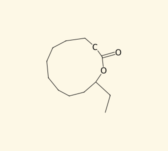 CCC1CCCCCCCCCC(=O)O1